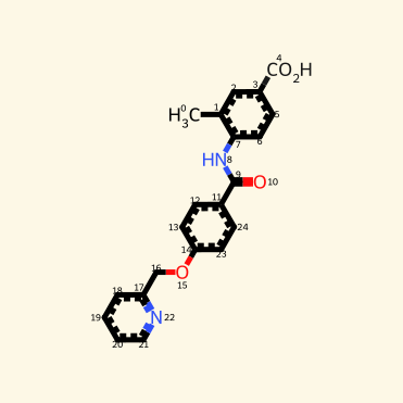 Cc1cc(C(=O)O)ccc1NC(=O)c1ccc(OCc2ccccn2)cc1